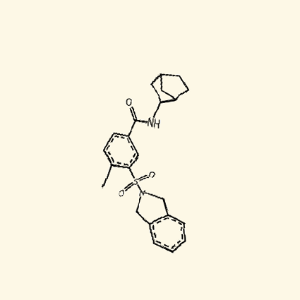 Cc1ccc(C(=O)NC2CC3CCC2C3)cc1S(=O)(=O)N1Cc2ccccc2C1